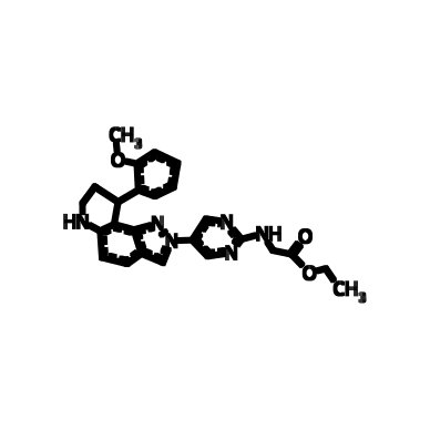 CCOC(=O)CNc1ncc(-n2cc3ccc4c(c3n2)C(c2ccccc2OC)CCN4)cn1